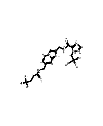 O=C(CCC(F)(F)F)NCc1cnn2cc(CNC(=O)c3ncnn3CC(F)(F)F)nc2c1